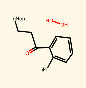 CCCCCCCCCCCC(=O)c1ccccc1C(C)C.OO